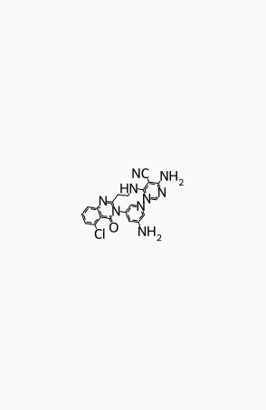 N#Cc1c(N)ncnc1NCCc1nc2cccc(Cl)c2c(=O)n1-c1cncc(N)c1